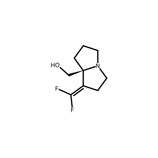 OC[C@@]12CCCN1CCC2=C(F)F